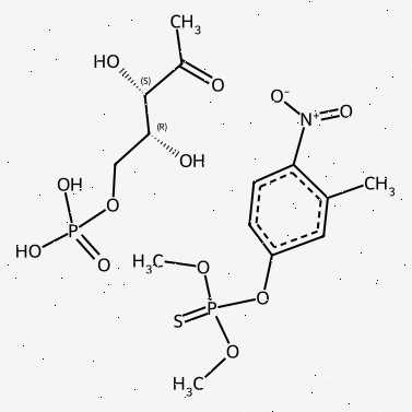 CC(=O)[C@@H](O)[C@H](O)COP(=O)(O)O.COP(=S)(OC)Oc1ccc([N+](=O)[O-])c(C)c1